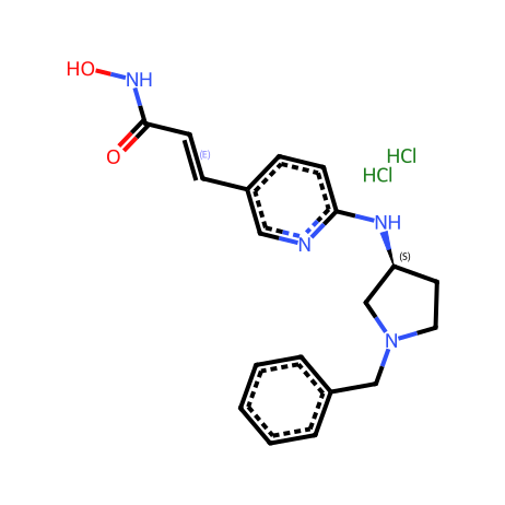 Cl.Cl.O=C(/C=C/c1ccc(N[C@H]2CCN(Cc3ccccc3)C2)nc1)NO